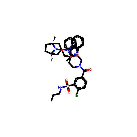 CCCNS(=O)(=O)c1cc(C(=O)N2CCC(CCN3[C@@H]4CC[C@H]3C[C@@H](n3c(C)nc5ccccc53)C4)(c3ccccc3)CC2)ccc1Br